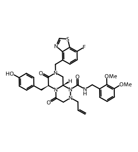 C=CCN1CC(=O)N2[C@@H](Cc3ccc(O)cc3)C(=O)N(Cc3ccc(F)c4scnc34)C[C@@H]2N1C(=O)NCc1cccc(OC)c1OC